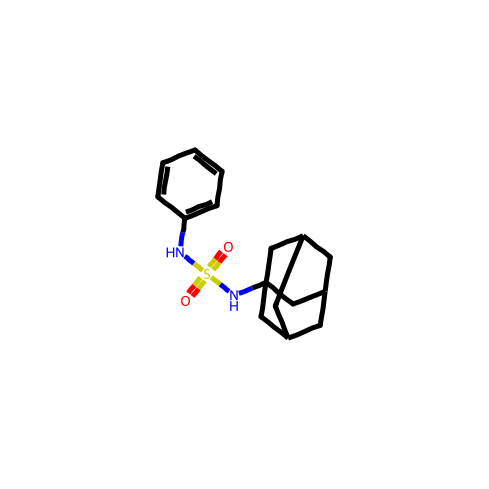 O=S(=O)(Nc1ccccc1)NC12CC3CC(CC(C3)C1)C2